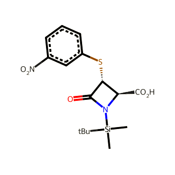 CC(C)(C)[Si](C)(C)N1C(=O)[C@H](Sc2cccc([N+](=O)[O-])c2)[C@H]1C(=O)O